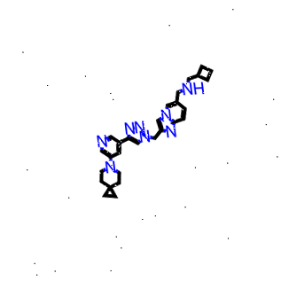 c1cc2nc(Cn3cc(-c4cncc(N5CCC6(CC5)CC6)c4)nn3)cn2cc1CNCC1CCC1